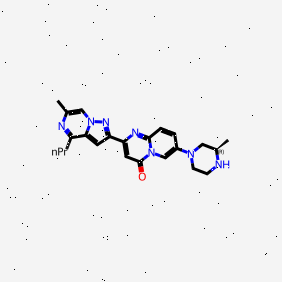 CCCc1nc(C)cn2nc(-c3cc(=O)n4cc(N5CCN[C@H](C)C5)ccc4n3)cc12